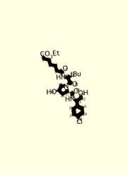 CCOC(=O)CCCCCC(=O)NC(C(=O)N1C[C@H](O)C[C@H]1C(=O)NC(CO)c1ccc(Cl)cc1)C(C)(C)C